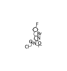 CC1(C)CN(C(=O)CCl)c2cc(Cc3ccc(F)cc3)c(Br)nc2O1